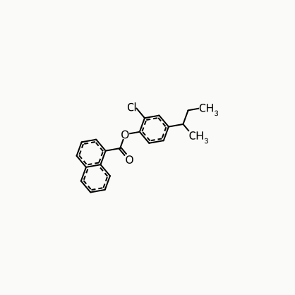 CCC(C)c1ccc(OC(=O)c2cccc3ccccc23)c(Cl)c1